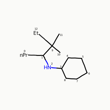 CCCC(NC1CCCCC1)C(C)(C)CC